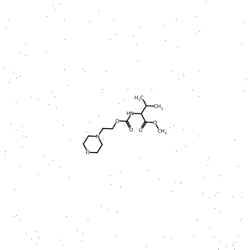 COC(=O)C(NC(=O)OCCN1CCOCC1)C(C)C